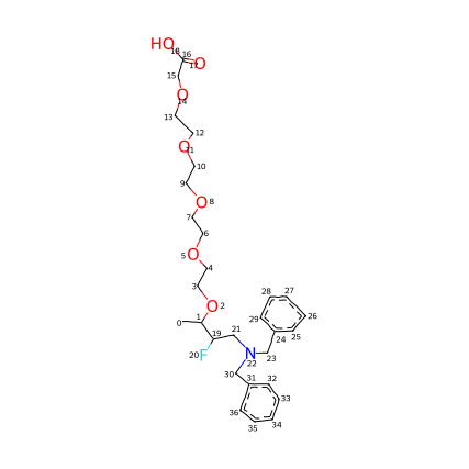 CC(OCCOCCOCCOCCOCC(=O)O)C(F)CN(Cc1ccccc1)Cc1ccccc1